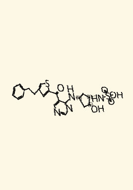 O=C(c1cc(CCc2ccccc2)cs1)c1cncnc1N[C@@H]1C[C@H](CNS(=O)(=O)O)[C@@H](O)C1